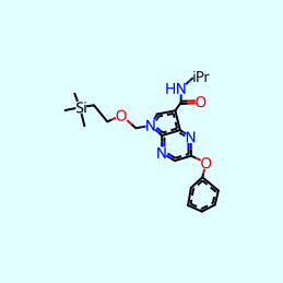 CC(C)NC(=O)c1cn(COCC[Si](C)(C)C)c2ncc(Oc3ccccc3)nc12